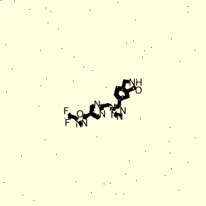 O=C1NCc2ccc(-c3nnnn3Cc3ncc(-c4nnc(C(F)F)o4)cn3)cc21